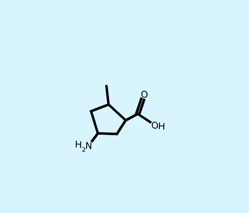 CC1CC(N)CC1C(=O)O